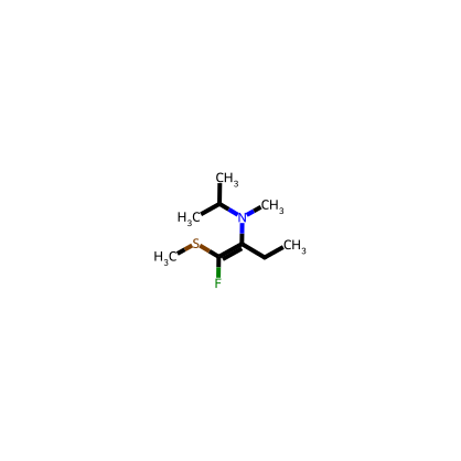 CC/C(=C(\F)SC)N(C)C(C)C